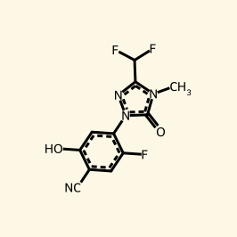 Cn1c(C(F)F)nn(-c2cc(O)c(C#N)cc2F)c1=O